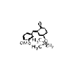 COc1cccc(C=C2CC(O[Si](C)(C)C)CCC2=O)c1